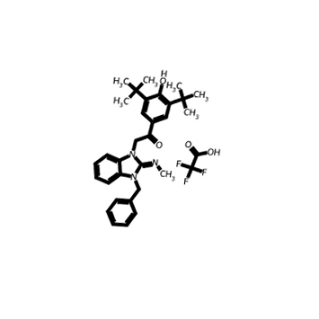 CN=c1n(CC(=O)c2cc(C(C)(C)C)c(O)c(C(C)(C)C)c2)c2ccccc2n1Cc1ccccc1.O=C(O)C(F)(F)F